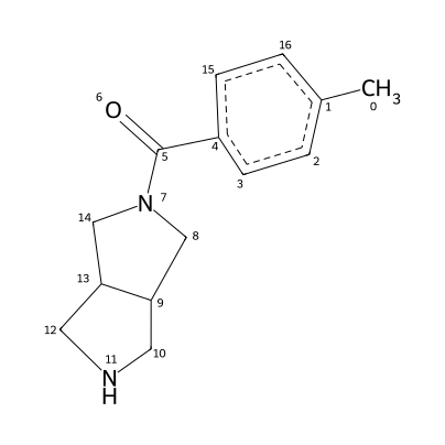 Cc1ccc(C(=O)N2CC3CNCC3C2)cc1